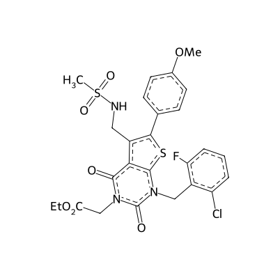 CCOC(=O)Cn1c(=O)c2c(CNS(C)(=O)=O)c(-c3ccc(OC)cc3)sc2n(Cc2c(F)cccc2Cl)c1=O